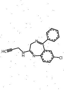 C#CCNC1=Nc2ccc(Cl)cc2C(c2ccccc2)=NC1